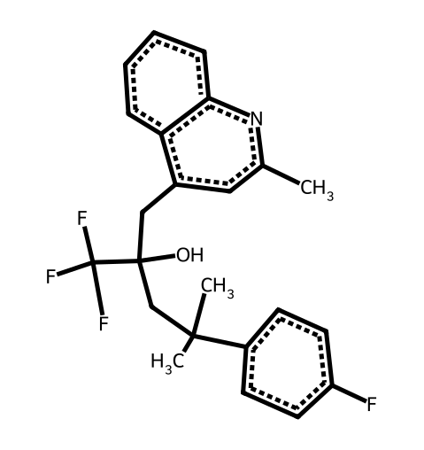 Cc1cc(CC(O)(CC(C)(C)c2ccc(F)cc2)C(F)(F)F)c2ccccc2n1